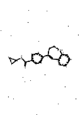 O=C(NC1CC1)c1ccc(C2=Cc3ccccc3NCC2)cc1